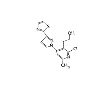 Cc1cc(-n2ccc(-c3nccs3)n2)c(CCO)c(Cl)n1